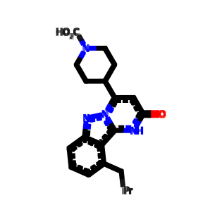 CC(C)Cc1cccc2nn3c(C4CCN(C(=O)O)CC4)cc(=O)[nH]c3c12